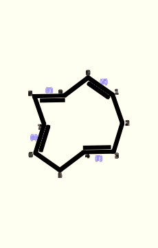 C1=C\C/C=C/C/C=C/C=C/1